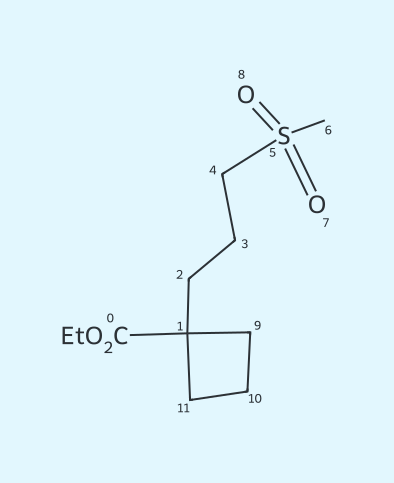 CCOC(=O)C1(CCCS(C)(=O)=O)CCC1